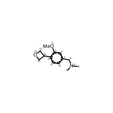 COc1cc(CN(C)C)ccc1C1COC1